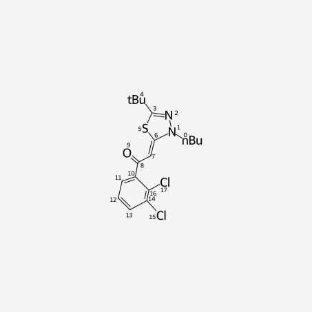 CCCCN1N=C(C(C)(C)C)S/C1=C\C(=O)c1cccc(Cl)c1Cl